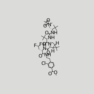 COC(=O)c1ccc(CCNC(=O)[C@H](CC(F)F)NC(=O)[C@@H]2[C@@H]3[C@H](CN2C(=O)[C@@H](NC(=O)N[C@H](CN(C)S(C)(=O)=O)C(C)(C)C)C(C)(C)C)C3(C)C)c(Cl)c1